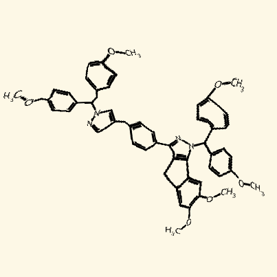 COc1ccc(C(c2ccc(OC)cc2)n2cc(-c3ccc(-c4nn(C(c5ccc(OC)cc5)c5ccc(OC)cc5)c5c4Cc4cc(OC)c(OC)cc4-5)cc3)cn2)cc1